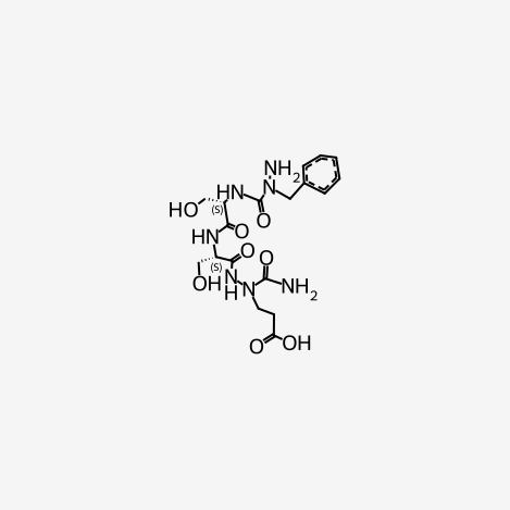 NC(=O)N(CCC(=O)O)NC(=O)[C@H](CO)NC(=O)[C@H](CO)NC(=O)N(N)Cc1ccccc1